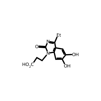 CCc1nc(=O)n(CCC(=O)O)c2cc(O)c(O)cc12